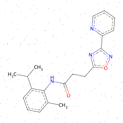 Cc1cccc(C(C)C)c1NC(=O)CCc1nc(-c2ccccn2)no1